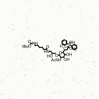 CC(=O)NC1C(OCC(O)CNC(=O)CCCCCNC(=O)OC(C)(C)C)OC(CCC(C)(C)[Si](O)(c2ccccc2)c2ccccc2)C(O)C1O